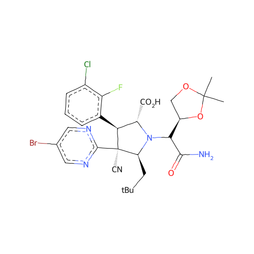 CC(C)(C)C[C@@H]1N(C(C(N)=O)[C@H]2COC(C)(C)O2)[C@@H](C(=O)O)[C@H](c2cccc(Cl)c2F)[C@]1(C#N)c1ncc(Br)cn1